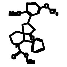 COc1ccc(OC(F)(F)F)cc1C1CC(=O)C2(CCCN(C(=O)OC(C)(C)C)C2c2ccccc2)C1